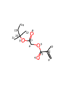 C=C(C)C(=O)OCC(=O)OC(C)(C)CC